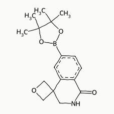 CC1(C)OB(c2ccc3c(c2)C2(CNC3=O)COC2)OC1(C)C